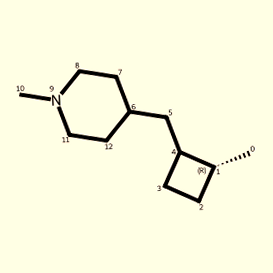 C[C@@H]1CCC1CC1CCN(C)CC1